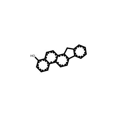 Oc1cccc2c1ccc1c3c(ccc12)-c1ccccc1C3